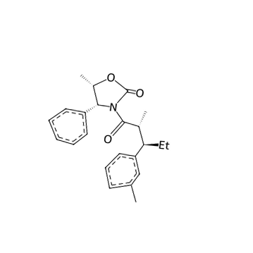 CC[C@@H](c1cccc(C)c1)[C@@H](C)C(=O)N1C(=O)O[C@@H](C)[C@H]1c1ccccc1